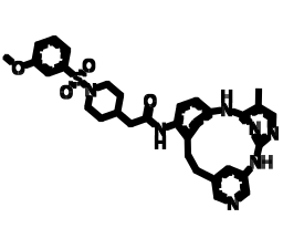 COc1cccc(S(=O)(=O)N2CCC(CC(=O)Nc3ccc4cc3CCc3cncc(c3)Nc3ncc(C)c(n3)N4)CC2)c1